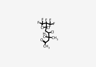 CC(=O)CC(C)(C)C(Cl)CC(Cl)(Cl)C(F)(C(F)(F)F)C(F)(F)F